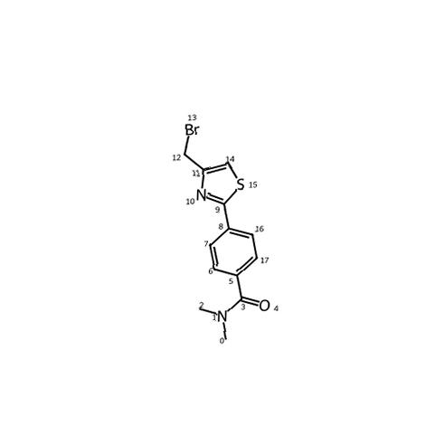 CN(C)C(=O)c1ccc(-c2nc(CBr)cs2)cc1